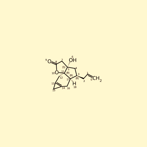 C=CC[C@@H]1C[C@]2(O)CC(=O)O[C@@]23CC2=C(C2)C[C@H]13